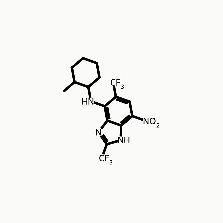 CC1CCCCC1Nc1c(C(F)(F)F)cc([N+](=O)[O-])c2[nH]c(C(F)(F)F)nc12